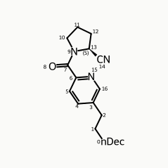 CCCCCCCCCCCCc1ccc(C(=O)N2CCC[C@H]2C#N)nc1